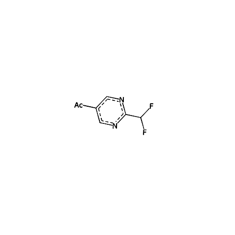 CC(=O)c1cnc(C(F)F)nc1